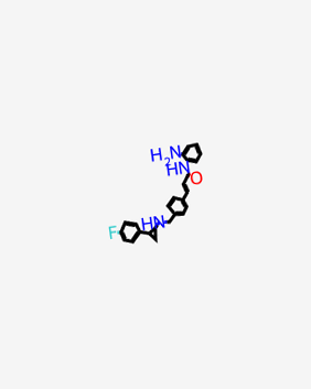 Nc1ccccc1NC(=O)C=Cc1ccc(CNC2CC2c2ccc(F)cc2)cc1